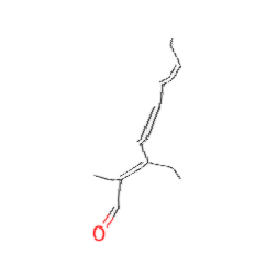 C/C=C/C=C/C(C)=C(\C)C=O